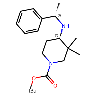 C[C@H](N[C@H]1CCN(C(=O)OC(C)(C)C)CC1(C)C)c1ccccc1